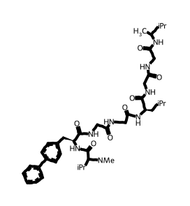 CNC(C(=O)N[C@@H](Cc1ccc(-c2ccccc2)cc1)C(=O)NCC(=O)NCC(=O)N[C@H](CC(C)C)C(=O)NCC(=O)NCC(=O)NC(C)C(C)C)C(C)C